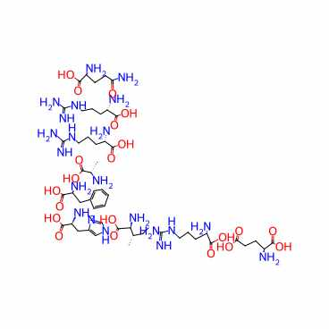 CC[C@H](C)[C@H](N)C(=O)O.C[C@H](N)C(=O)O.N=C(N)NCCC[C@H](N)C(=O)O.N=C(N)NCCC[C@H](N)C(=O)O.N=C(N)NCCC[C@H](N)C(=O)O.NC(=O)CC[C@H](N)C(=O)O.N[C@@H](CCC(=O)O)C(=O)O.N[C@@H](Cc1c[nH]cn1)C(=O)O.N[C@@H](Cc1ccccc1)C(=O)O